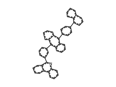 c1cc(-c2c3ccccc3c(-c3ccc(-c4cccc5ccccc45)cc3)c3ccccc23)cc(-c2nc3ccccc3c3ccccc23)c1